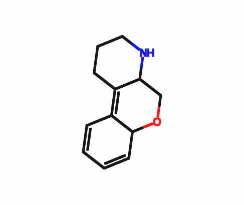 C1=CC2=C3CCCNC3COC2C=C1